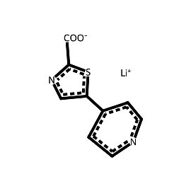 O=C([O-])c1ncc(-c2ccncc2)s1.[Li+]